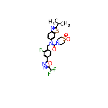 CC(C)c1nc2ccc(N(Cc3ccc(-c4nnc(C(F)F)o4)cc3F)C(=O)N3CCS(=O)(=O)CC3)cc2s1